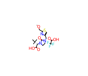 COCc1nc(CN2CCN([C@H](C(=O)O)C(C)(C)C)C2=O)cs1.O=C(O)C(F)(F)F